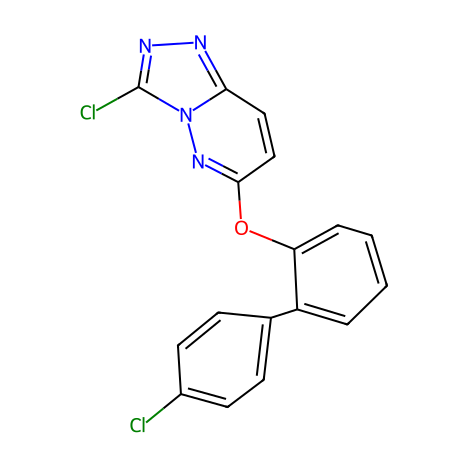 Clc1ccc(-c2ccccc2Oc2ccc3nnc(Cl)n3n2)cc1